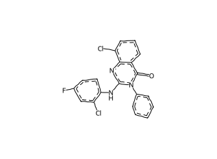 O=c1c2cccc(Cl)c2nc(Nc2ccc(F)cc2Cl)n1-c1ccccc1